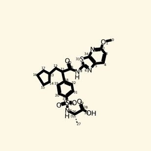 COc1ccc2nc(NC(=O)C(CC3CCCC3)c3ccc(S(=O)(=O)N[C@@H](C)C(=O)O)cc3)sc2n1